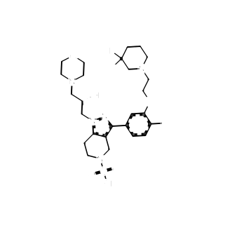 CS(=O)(=O)N1CCc2c(c(-c3ccc(C(F)(F)F)c(SCCN4CCCC(F)(F)C4)c3)nn2C[C@@H](O)CN2CCOCC2)C1